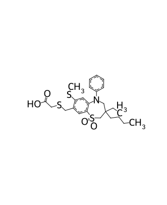 CCCCC1(CC)CN(c2ccccc2)c2cc(SC)c(CSCC(=O)O)cc2S(=O)(=O)C1